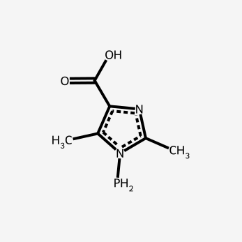 Cc1nc(C(=O)O)c(C)n1P